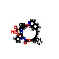 CCC1[C@H]2C[C@@H](C(=O)O)N1C(=O)[C@H](C1CCCC1)NC(=O)OCC(C)(C)CCCc1ccc3ccnc(c3c1)O2